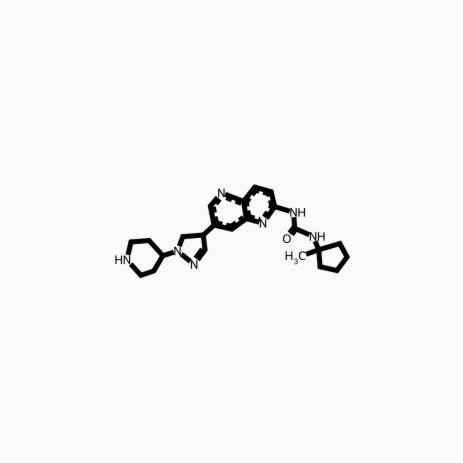 CC1(NC(=O)Nc2ccc3ncc(C4C=NN(C5CCNCC5)C4)cc3n2)CCCC1